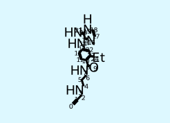 C#CCNCCCNC(=O)c1ccc(Nc2ncc[nH]c2=N)cc1CC